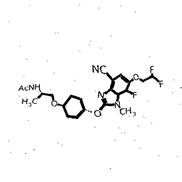 CC(=O)N[C@@H](C)CO[C@H]1CC[C@H](OC2=NC3=C(C#N)C=C(OCC(F)F)C(F)C3N2C)CC1